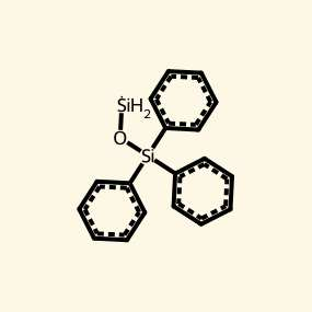 [SiH2]O[Si](c1ccccc1)(c1ccccc1)c1ccccc1